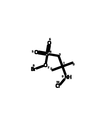 CC(C)(CS(=O)(=O)OBr)NCl